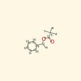 CC(OC(=O)C(C)(C)C)c1ccccc1